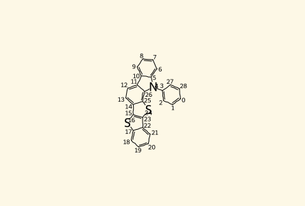 c1ccc(-n2c3ccccc3c3ccc4c5sc6ccccc6c5sc4c32)cc1